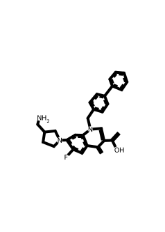 C=C(O)C1=CN(Cc2ccc(-c3ccccc3)cc2)c2cc(N3CCC(CN)C3)c(F)cc2C1=C